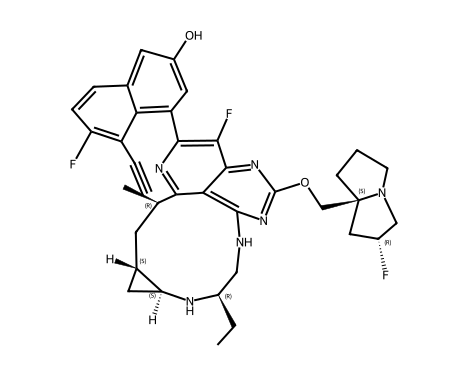 C#Cc1c(F)ccc2cc(O)cc(-c3nc4c5c(nc(OC[C@@]67CCCN6C[C@H](F)C7)nc5c3F)NC[C@@H](CC)N[C@H]3C[C@@H]3C[C@H]4C)c12